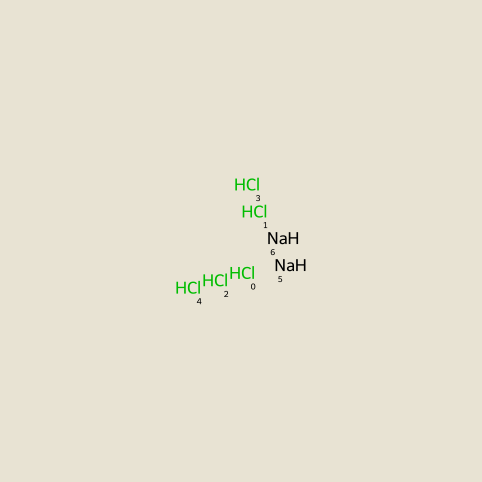 Cl.Cl.Cl.Cl.Cl.[NaH].[NaH]